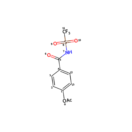 CC(=O)Oc1ccc(C(=O)NS(=O)(=O)C(F)(F)F)cc1